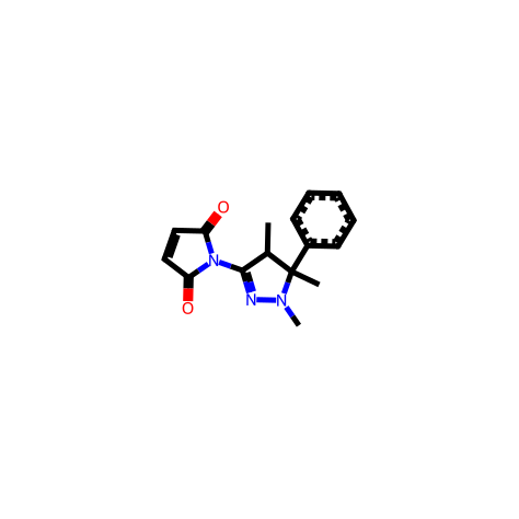 CC1C(N2C(=O)C=CC2=O)=NN(C)C1(C)c1ccccc1